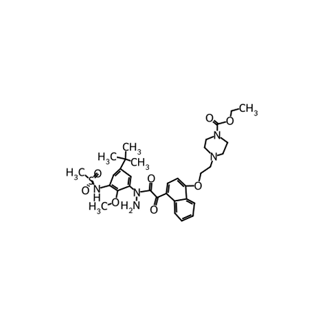 CCOC(=O)N1CCN(CCOc2ccc(C(=O)C(=O)N(N)c3cc(C(C)(C)C)cc(NS(C)(=O)=O)c3OC)c3ccccc23)CC1